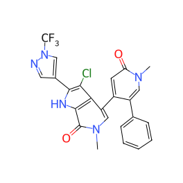 Cn1cc(-c2ccccc2)c(-c2cn(C)c(=O)c3[nH]c(-c4cnn(C(F)(F)F)c4)c(Cl)c23)cc1=O